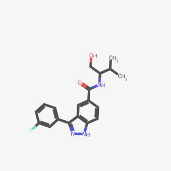 CC(C)C(CO)NC(=O)c1ccc2[nH]nc(-c3cccc(F)c3)c2c1